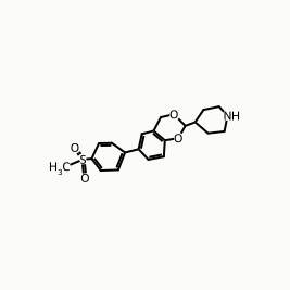 CS(=O)(=O)c1ccc(-c2ccc3c(c2)COC(C2CCNCC2)O3)cc1